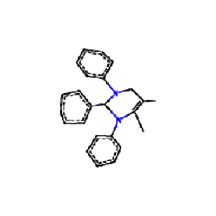 CC1=C(C)N(c2ccccc2)C(c2ccccc2)N(c2ccccc2)C1